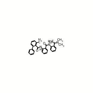 Cc1cccc(-c2ccccc2)c1C(=O)Nc1ccccc1C(=O)N(C)c1ccccc1C(C)N(C)C